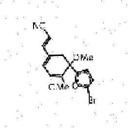 COC1=CC=C(C=CC#N)CC1(OC)c1ccc(Br)o1